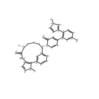 C[C@@H]1CCC[C@H](n2cnc(-c3cc(Cl)ccc3-c3ccn(C)n3)cc2=O)c2cc(ccn2)-c2c(cnn2C)NC1=O